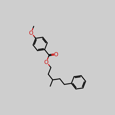 COc1ccc(C(=O)OCCC(C)CCc2ccccc2)cc1